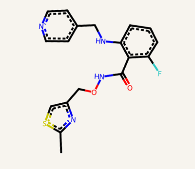 Cc1nc(CONC(=O)c2c(F)cccc2NCc2ccncc2)cs1